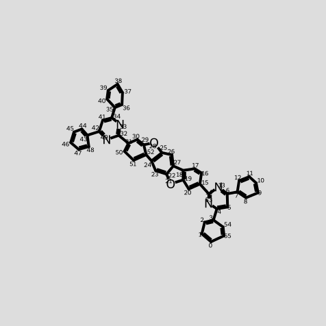 c1ccc(-c2cc(-c3ccccc3)nc(-c3ccc4c(c3)oc3cc5c(cc34)oc3cc(-c4nc(-c6ccccc6)cc(-c6ccccc6)n4)ccc35)n2)cc1